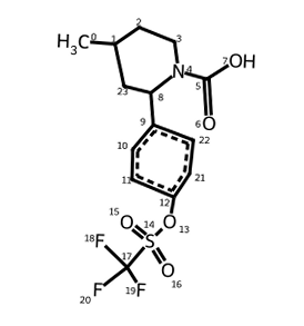 CC1CCN(C(=O)O)C(c2ccc(OS(=O)(=O)C(F)(F)F)cc2)C1